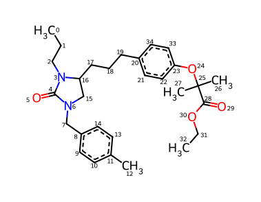 CCCN1C(=O)N(Cc2ccc(C)cc2)CC1CCCc1ccc(OC(C)(C)C(=O)OCC)cc1